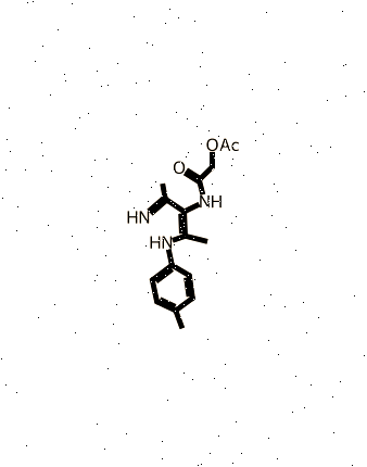 CC(=N)/C(NC(=O)COC(C)=O)=C(/C)Nc1ccc(C)cc1